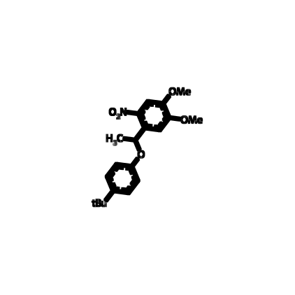 COc1cc(C(C)Oc2ccc(C(C)(C)C)cc2)c([N+](=O)[O-])cc1OC